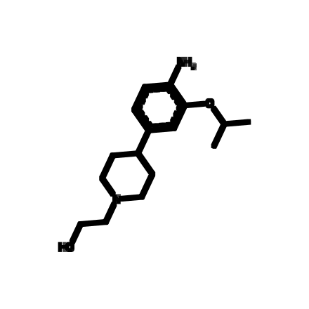 CC(C)Oc1cc(C2CCN(CCO)CC2)ccc1N